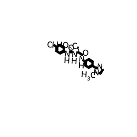 CN1CCN=C1c1ccc(NC(=O)[C@@H](CC(=O)O)NC(=O)Nc2ccc(Cl)cc2)cc1